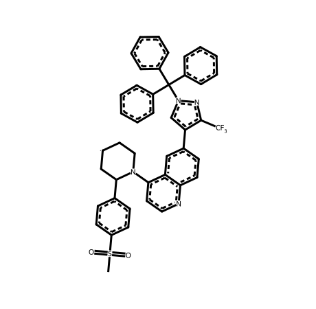 CS(=O)(=O)c1ccc(C2C[CH]CCN2c2ccnc3ccc(-c4cn(C(c5ccccc5)(c5ccccc5)c5ccccc5)nc4C(F)(F)F)cc23)cc1